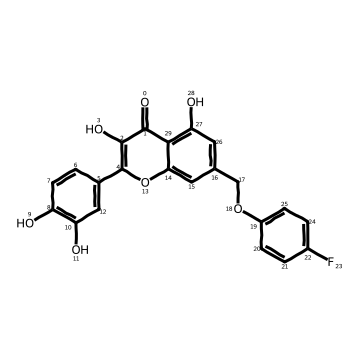 O=c1c(O)c(-c2ccc(O)c(O)c2)oc2cc(COc3ccc(F)cc3)cc(O)c12